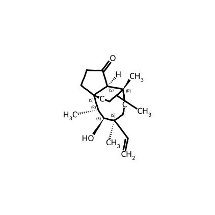 C=C[C@]1(C)CC[C@]2(C)C(C)CC[C@]3(CCC(=O)[C@H]32)[C@@H](C)[C@@H]1O